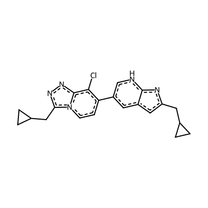 Clc1c(-c2c[nH]c3nc(CC4CC4)cc-3c2)ccn2c(CC3CC3)nnc12